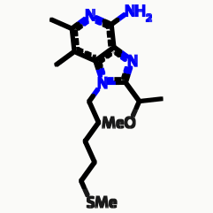 COC(C)c1nc2c(N)nc(C)c(C)c2n1CCCCCSC